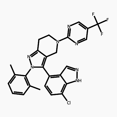 Cc1cccc(C)c1-n1nc2c(c1-c1ccc(Cl)c3[nH]ncc13)CN(c1ncc(C(F)(F)F)cn1)CC2